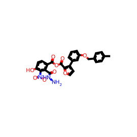 Cc1ccc(COc2cccc(-c3ccoc3C(=O)OC(=O)c3ccc(O)c([N+](=O)[O-])c3C(=O)NN)c2)cc1